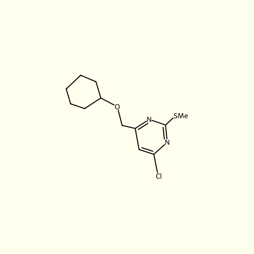 CSc1nc(Cl)cc(COC2CCCCC2)n1